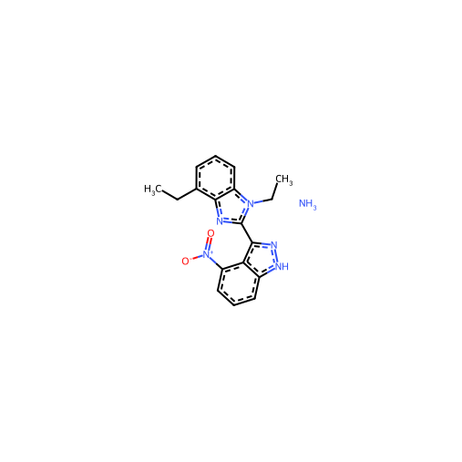 CCc1cccc2c1nc(-c1n[nH]c3cccc([N+](=O)[O-])c13)n2CC.N